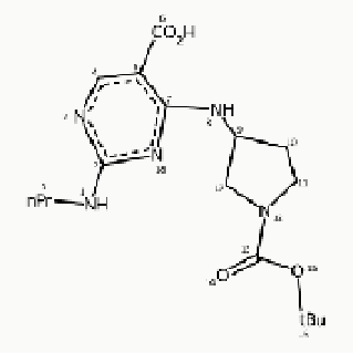 CCCNc1ncc(C(=O)O)c(NC2CCN(C(=O)OC(C)(C)C)C2)n1